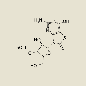 C=C1Sc2c(O)nc(N)nc2N1[C@@H]1O[C@H](CO)[C@H](OCCCCCCCC)[C@H]1O